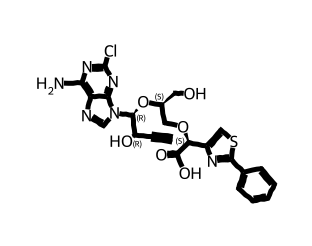 C#C[C@@H](O)[C@@H](O[C@@H](CO)CO[C@H](C(=O)O)c1csc(-c2ccccc2)n1)n1cnc2c(N)nc(Cl)nc21